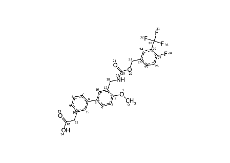 COc1ccc(-c2cccc(CC(=O)O)c2)cc1CNC(=O)OCc1ccc(F)c(C(F)(F)F)c1